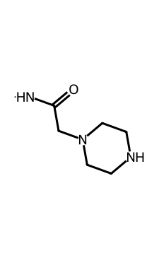 [NH]C(=O)CN1CCNCC1